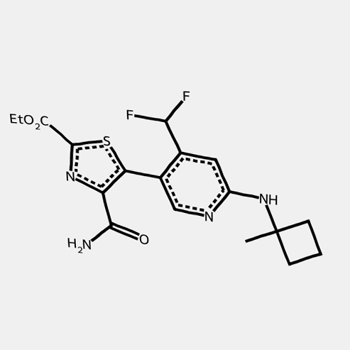 CCOC(=O)c1nc(C(N)=O)c(-c2cnc(NC3(C)CCC3)cc2C(F)F)s1